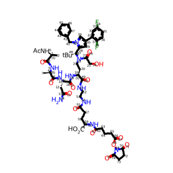 CC(=O)N[C@@H](C)C(=O)N[C@H](C)C(=O)N[C@@H](CC(N)=O)C(=O)N[C@@H](CCN(C(=O)CO)[C@@H](c1cc(-c2cc(F)ccc2F)cn1Cc1ccccc1)C(C)(C)C)C(=O)NCCNC(=O)CC[C@H](NC(=O)CCCC(=O)ON1C(=O)CCC1=O)C(=O)O